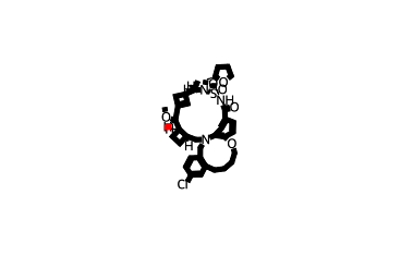 CO[C@H]1C2=C[C@@H](C2)[C@H](C)N(C[C@@H]2CCCO2)S(=O)(=O)NC(=O)c2ccc3c(c2)N(Cc2ccc(Cl)cc2CCCCO3)C[C@@H]2CC[C@H]21